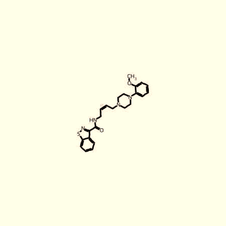 COc1ccccc1N1CCN(C/C=C\CNC(=O)c2nsc3ccccc23)CC1